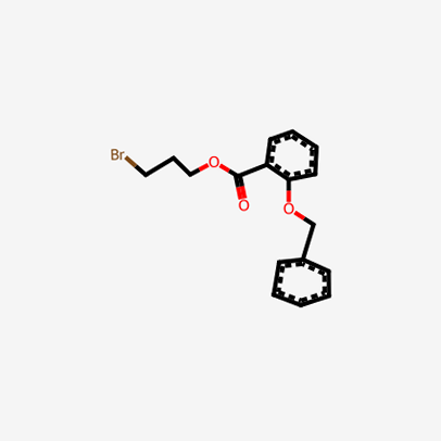 O=C(OCCCBr)c1ccccc1OCc1ccccc1